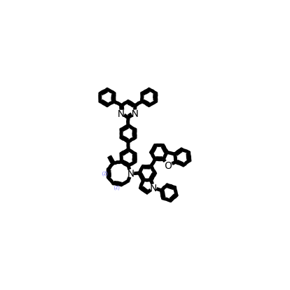 C=C1/C=C\C=C/CN(c2cc(-c3cccc4c3oc3ccccc34)cc3c2ccn3-c2ccccc2)c2ccc(-c3ccc(-c4nc(-c5ccccc5)cc(-c5ccccc5)n4)cc3)cc21